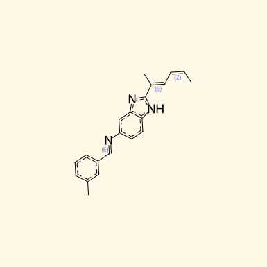 C/C=C\C=C(/C)c1nc2cc(/N=C/c3cccc(C)c3)ccc2[nH]1